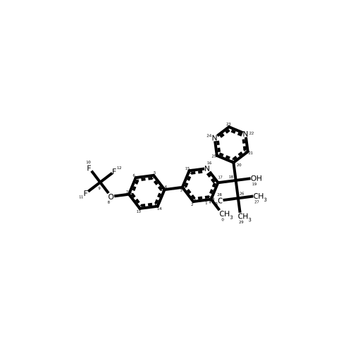 Cc1cc(-c2ccc(OC(F)(F)F)cc2)cnc1C(O)(c1cncnc1)C(C)(C)C